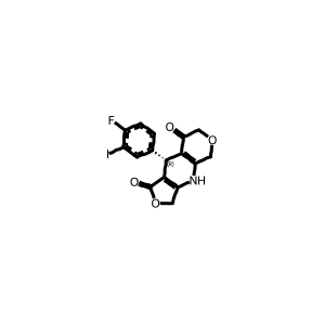 O=C1COCC2=C1[C@@H](c1ccc(F)c(I)c1)C1=C(COC1=O)N2